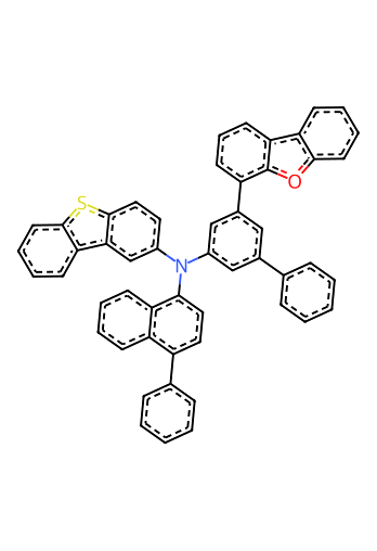 c1ccc(-c2cc(-c3cccc4c3oc3ccccc34)cc(N(c3ccc4sc5ccccc5c4c3)c3ccc(-c4ccccc4)c4ccccc34)c2)cc1